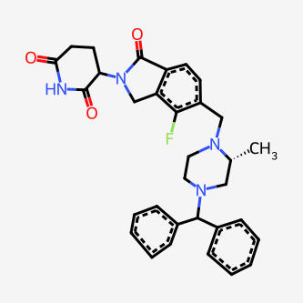 C[C@@H]1CN(C(c2ccccc2)c2ccccc2)CCN1Cc1ccc2c(c1F)CN(C1CCC(=O)NC1=O)C2=O